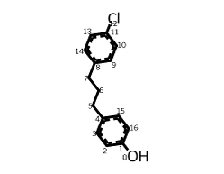 Oc1ccc(CCCc2ccc(Cl)cc2)cc1